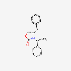 CC(c1ccccc1)N1C(=O)OCC1Cc1ccccc1